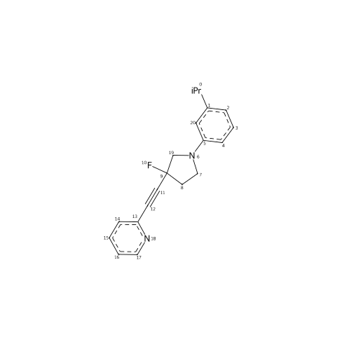 CC(C)c1cccc(N2CCC(F)(C#Cc3ccccn3)C2)c1